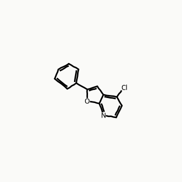 Clc1ccnc2oc(-c3ccccc3)cc12